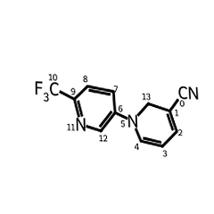 N#CC1=CC=CN(c2ccc(C(F)(F)F)nc2)C1